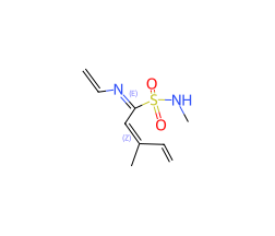 C=C/N=C(\C=C(\C)C=C)S(=O)(=O)NC